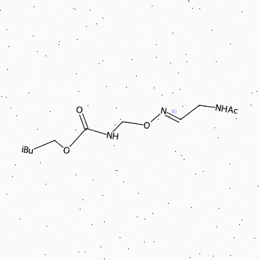 CCC(C)COC(=O)NCO/N=C/CNC(C)=O